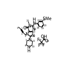 CC#CCn1c(N2CCNCC2)nc2nc(Nc3cccc(SC)c3)n(C)c(=O)c21.O=C(O)C(F)(F)F